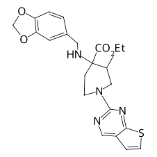 CCOC(=O)C1(NCc2ccc3c(c2)OCO3)CCN(c2ncc3ccsc3n2)CC1C